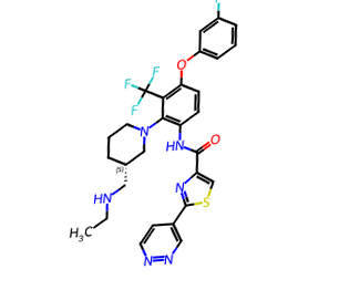 CCNC[C@@H]1CCCN(c2c(NC(=O)c3csc(-c4ccnnc4)n3)ccc(Oc3cccc(F)c3)c2C(F)(F)F)C1